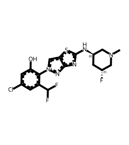 CN1C[C@H](F)C[C@@H](Nc2nc3nn(-c4c(O)cc(Cl)cc4C(F)F)cc3s2)C1